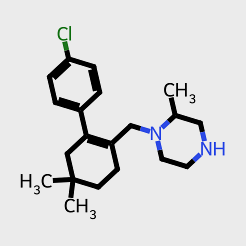 CC1CNCCN1CC1=C(c2ccc(Cl)cc2)CC(C)(C)CC1